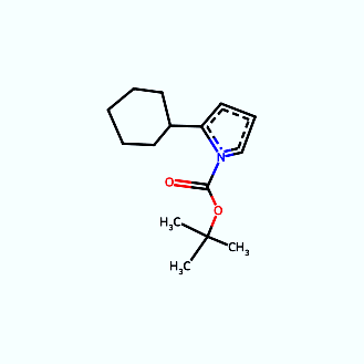 CC(C)(C)OC(=O)n1cccc1C1CCCCC1